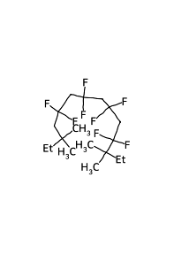 CCC(C)(C)CC(F)(F)CC(F)(F)CC(F)(F)CC(F)(F)C(C)(C)CC